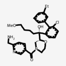 CCc1cccc(-c2c(Cl)cccc2[C@](O)(CCCCOC)[C@H]2CN(C(=O)c3ccc(CN)nc3)CCO2)c1